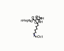 CCCCCCCC/C=C\CCCCCC(=O)NC(=N)N(C)CC(=O)OCCCCCCC